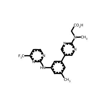 Cc1cc(Nc2nccc(C(F)(F)F)n2)cc(-c2cnc(N(C)CC(=O)O)nc2)c1